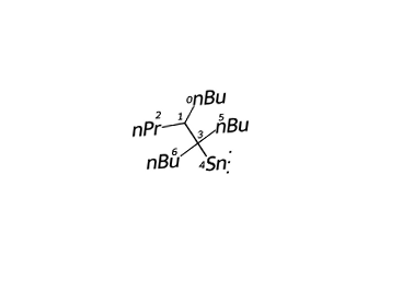 CCCCC(CCC)[C]([Sn])(CCCC)CCCC